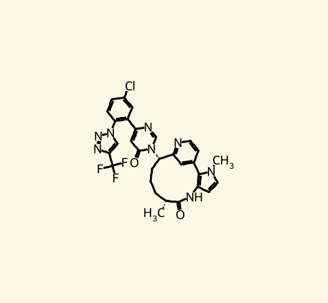 C[C@@H]1CCC[C@H](n2cnc(-c3cc(Cl)ccc3-n3cc(C(F)(F)F)nn3)cc2=O)c2cc(ccn2)-c2c(ccn2C)NC1=O